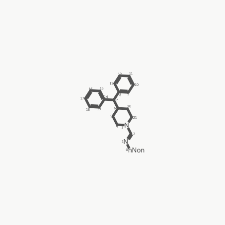 CCCCCCCCCN=CN1CCC(C(c2ccccc2)c2ccccc2)CC1